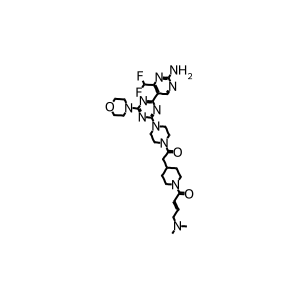 CN(C)C/C=C/C(=O)N1CCC(CC(=O)N2CCN(c3nc(-c4cnc(N)nc4C(F)F)nc(N4CCOCC4)n3)CC2)CC1